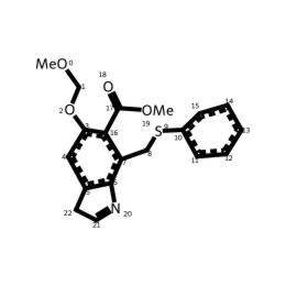 COCOc1cc2c(c(CSc3ccccc3)c1C(=O)OC)N=CC2